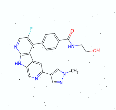 Cn1cc(-c2cc3c(cn2)[nH]c2ncc(F)c(-c4ccc(C(=O)NCCO)cc4)c23)cn1